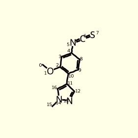 COc1cc(N=C=S)ccc1-c1cnn(C)c1